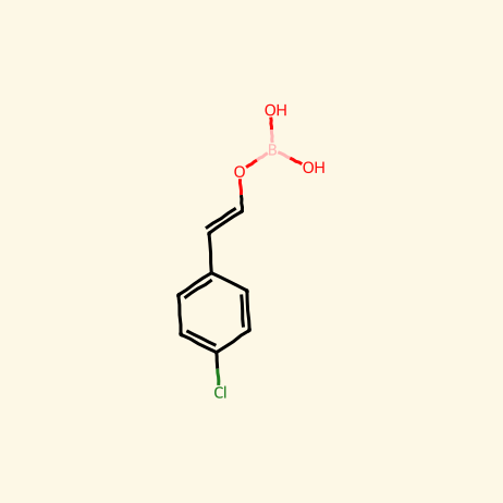 OB(O)OC=Cc1ccc(Cl)cc1